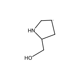 OCC1C[CH]CN1